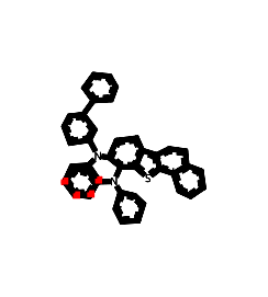 c1ccc(-c2cccc(N(c3ccccc3)c3ccc4c(sc5c6ccccc6ccc45)c3N(c3ccccc3)c3ccccc3)c2)cc1